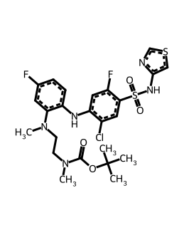 CN(CCN(C)c1cc(F)ccc1Nc1cc(F)c(S(=O)(=O)Nc2cscn2)cc1Cl)C(=O)OC(C)(C)C